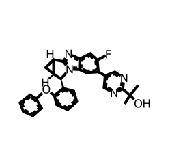 CC(C)(O)c1ncc(-c2cc3c(cc2F)nc2n3[C@@H](c3ccccc3Oc3ccccc3)[C@@H]3C[C@H]23)cn1